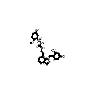 COc1ccc(Br)cc1S(=O)(=O)NC(=O)NCC=C1CCCc2cnn(Cc3ccc(Cl)cc3Cl)c21